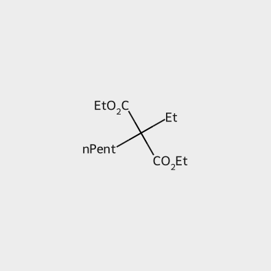 CCCCCC(CC)(C(=O)OCC)C(=O)OCC